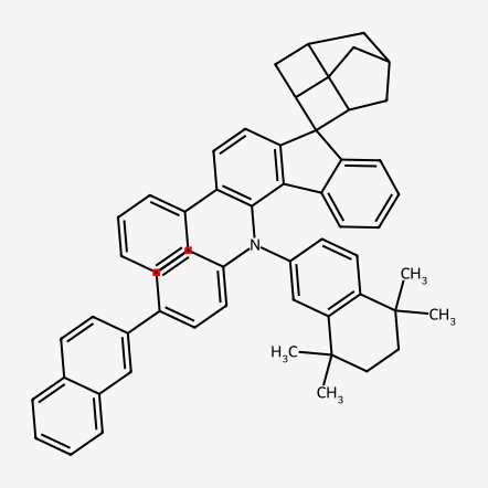 CC1(C)CCC(C)(C)c2cc(N(c3ccc(-c4ccc5ccccc5c4)cc3)c3c(-c4ccccc4)ccc4c3-c3ccccc3C43C4CC5CC6CC3C64C5)ccc21